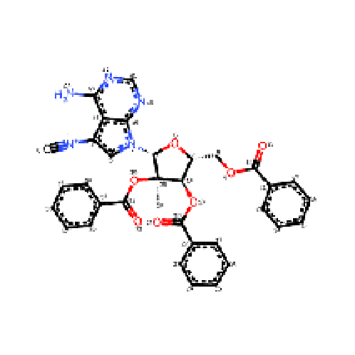 [C-]#[N+]c1cn([C@@H]2O[C@H](COC(=O)c3ccccc3)[C@@H](OC(=O)c3ccccc3)[C@@]2(C)OC(=O)c2ccccc2)c2ncnc(N)c12